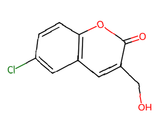 O=c1oc2ccc(Cl)cc2cc1CO